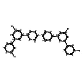 Cc1cccc(-c2cc(C)cc(-c3ccc(-c4ccc(-c5cc(C)cc(-c6cccc(C)c6)c5)cn4)nc3)c2)c1